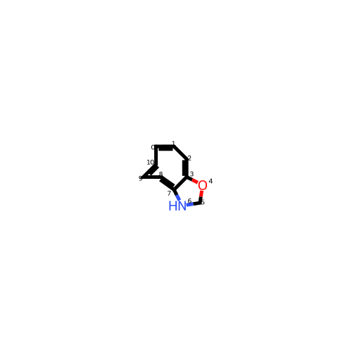 C1=C\C=C2\OCN\C2=C/C=C/1